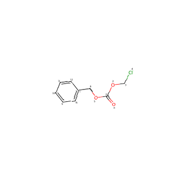 O=C(OCCl)OCc1ccccc1